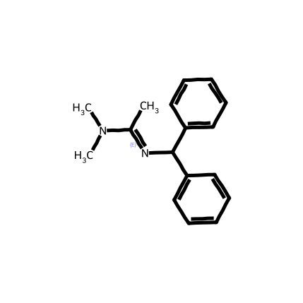 C/C(=N\C(c1ccccc1)c1ccccc1)N(C)C